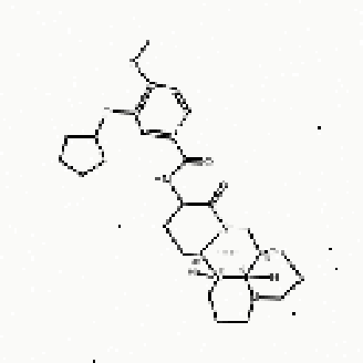 COc1ccc(C(=O)NC2CC[C@@H]3[C@H]4CCCN5CCC[C@@H](CN3C2=O)[C@@H]45)cc1OC1CCCC1